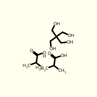 CC(C)C(=O)O.CC(C)C(=O)O.OCC(CO)(CO)CO